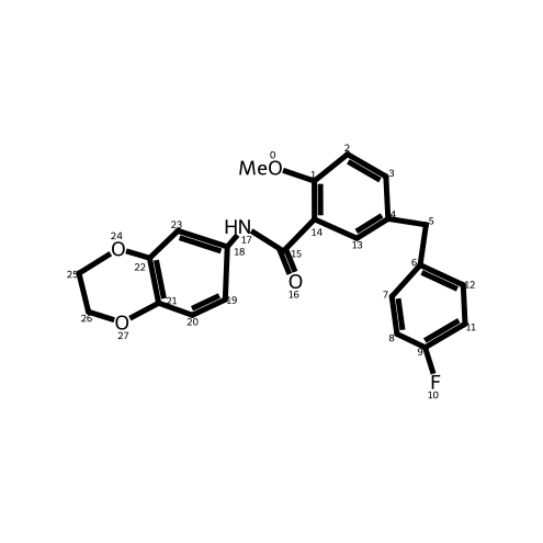 COc1ccc(Cc2ccc(F)cc2)cc1C(=O)Nc1ccc2c(c1)OCCO2